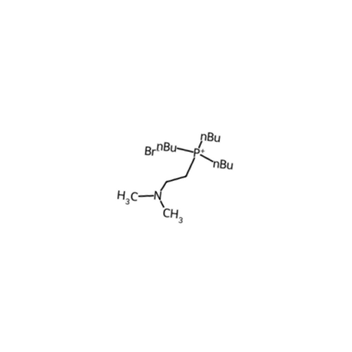 CCCC[P+](CCCC)(CCCC)CCN(C)C.[Br-]